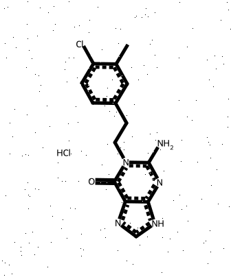 Cc1cc(CCn2c(N)nc3[nH]cnc3c2=O)ccc1Cl.Cl